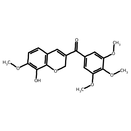 COc1ccc2c(c1O)OCC(C(=O)c1cc(OC)c(OC)c(OC)c1)=C2